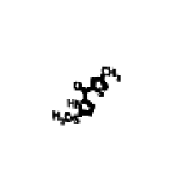 CSc1ccc(C(=O)c2cc(C)cs2)[nH]1